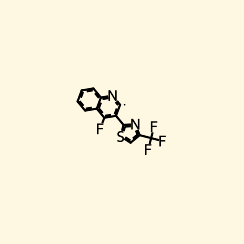 Fc1c(-c2nc(C(F)(F)F)cs2)[c]nc2ccccc12